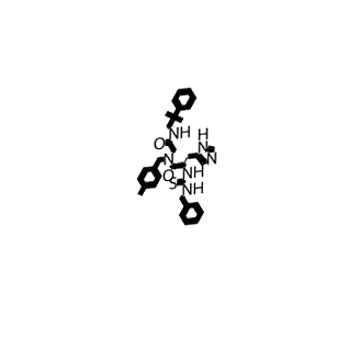 Cc1ccc(CN(CC(=O)NCC(C)(C)c2ccccc2)C(=O)[C@H](Cc2cnc[nH]2)NC(=S)NCc2ccccc2)cc1